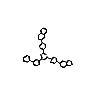 c1ccc(-c2cccc(-c3cc(-c4ccc(-c5ccc6ccccc6c5)cc4)nc(-c4ccc(-c5ccc6ccccc6c5)cc4)n3)c2)cc1